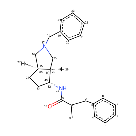 CC(Cc1ccccc1)C(=O)N[C@@H]1CC[C@H]2CN(Cc3ccccc3)C[C@H]21